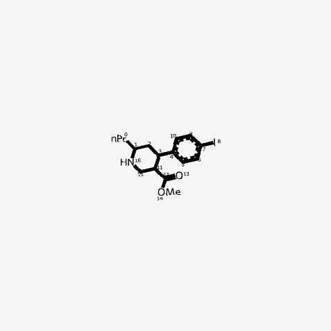 CCCC1CC(c2ccc(I)cc2)C(C(=O)OC)CN1